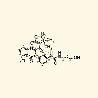 CC(c1nc2cccc(Cl)c2c(=O)n1-c1cccc(NC(=O)NCCCO)c1)N(C(=O)O)C(C)(C)C